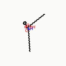 CCCCCCCCCCCCCCCCCC(=O)N[C@H]1COC(c2ccccc2)O[C@@H]1C(O)CCCCCCCCCCCCCC